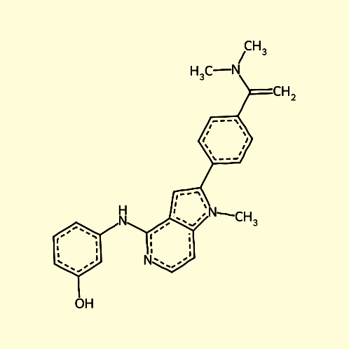 C=C(c1ccc(-c2cc3c(Nc4cccc(O)c4)nccc3n2C)cc1)N(C)C